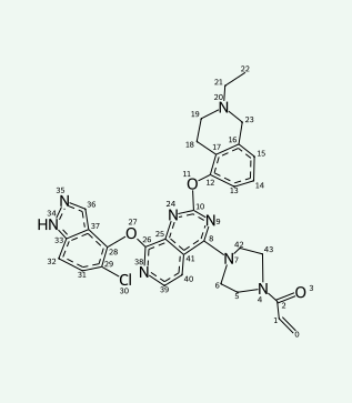 C=CC(=O)N1CCN(c2nc(Oc3cccc4c3CCN(CC)C4)nc3c(Oc4c(Cl)ccc5[nH]ncc45)nccc23)CC1